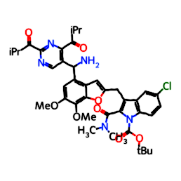 COc1cc(C(N)c2cnc(C(=O)C(C)C)nc2C(=O)C(C)C)c2cc(Cc3c(C(=O)N(C)C)n(C(=O)OC(C)(C)C)c4ccc(Cl)cc34)oc2c1OC